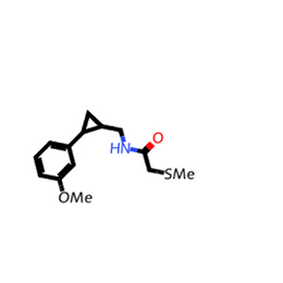 COc1cccc(C2CC2CNC(=O)CSC)c1